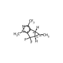 C[C@@H]1[C@H]2c3c(C(F)(F)F)nn(C)c3C(F)(F)[C@@H]12